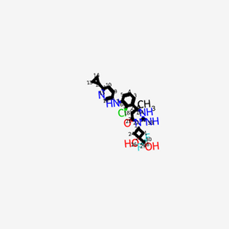 C[C@@]1(c2cccc(Nc3ccc(C4CC4)nc3)c2Cl)CC(=O)N([C@H]2C[C@](O)(C(O)(F)F)C2)C(=N)N1